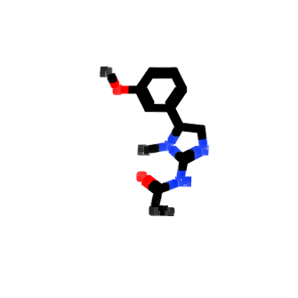 CCOc1cccc(C2CN=C(NC(=O)OC)N2CC)c1